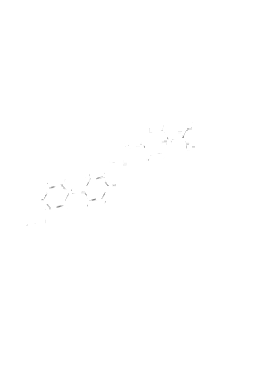 COc1cccc(-c2cccc(CCCN3CCN(C(=O)O)CC3)c2)c1